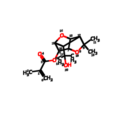 C=C(C)C(=O)OC1C2OC(C)(C)C3C2OC1C3C(C)(C)O